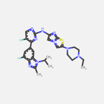 CCN1CCN(c2cn3cc(Nc4ncc(F)c(-c5cc(F)c6nc(C)n(C(C)C)c6c5)n4)nc3s2)CC1